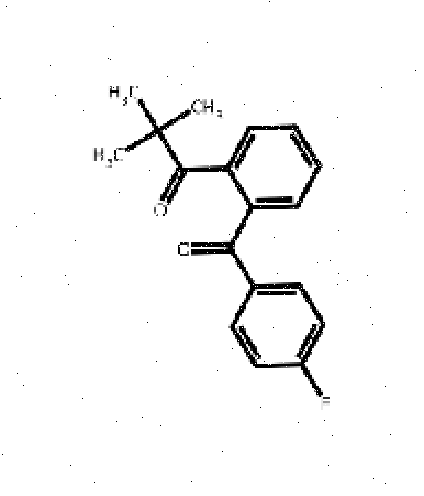 CC(C)(C)C(=O)c1ccccc1C(=O)c1ccc(F)cc1